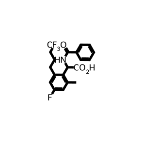 Cc1cc(F)cc(CCCC(F)(F)F)c1C(NC(=O)c1ccccc1)C(=O)O